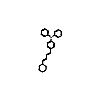 C1=CC(/C=C/C=C/c2ccc(N(c3ccccc3)c3ccccc3)cc2)CCC1